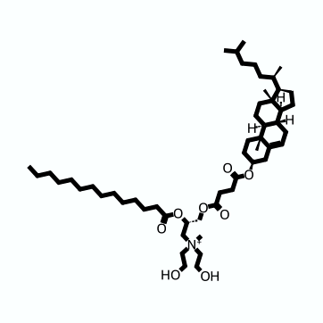 CCCCCCCCCCCCCC(=O)O[C@H](COC(=O)CCC(=O)O[C@H]1CC[C@@]2(C)C(=CC[C@H]3[C@@H]4CC[C@H]([C@H](C)CCCC(C)C)[C@@]4(C)CC[C@@H]32)C1)C[N+](C)(CCO)CCO